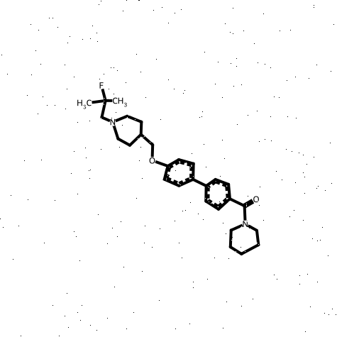 CC(C)(F)CN1CCC(COc2ccc(-c3ccc(C(=O)N4CCCCC4)cc3)cc2)CC1